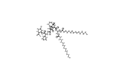 CCCCCCCCCCCCCCCC(=O)OCC(COC(=O)CCCCCCCCCCCCCCC)OC(=O)[C@@H]1C[C@H]2CCCC[C@@H]2N1C(=O)[C@H](C)NCCC(C(=O)OC1CC(C)CCC1C(C)C)c1ccccc1